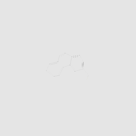 SCc1ccc2ccc3ccccc3c2c1